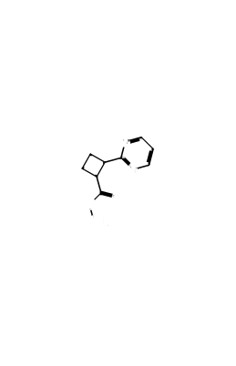 COC(=O)C1CCC1c1ncccn1